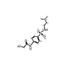 CC(=O)CC(=O)Nc1ccc(S(=O)(=O)NCCN(C)C)cc1